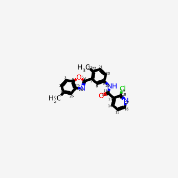 Cc1ccc2oc(-c3cc(NC(=O)c4cccnc4Cl)ccc3C)nc2c1